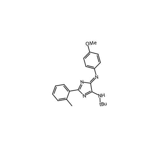 COc1ccc(/N=C2\N=C(c3ccccc3C)N=C2NC(C)(C)C)cc1